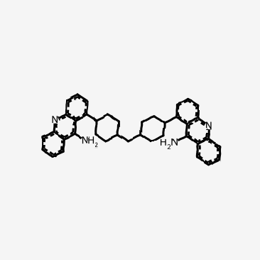 Nc1c2ccccc2nc2cccc(C3CCC(CC4CCC(c5cccc6nc7ccccc7c(N)c56)CC4)CC3)c12